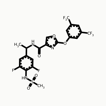 CC(NC(=O)c1coc(Oc2cc(C(F)(F)F)cc(C(F)(F)F)c2)n1)c1cc(F)c(NS(C)(=O)=O)c(F)c1